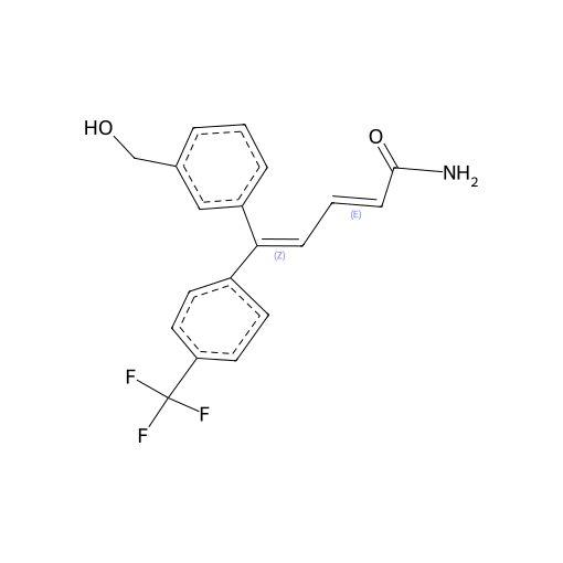 NC(=O)/C=C/C=C(/c1ccc(C(F)(F)F)cc1)c1cccc(CO)c1